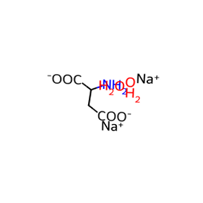 NC(CC(=O)[O-])C(=O)[O-].O.O.[Na+].[Na+]